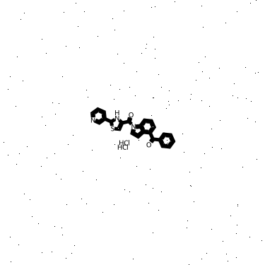 Cl.Cl.O=C(c1ccccc1)c1cccc2c1ccn2C(=O)C1=CSC(c2cccnc2)N1